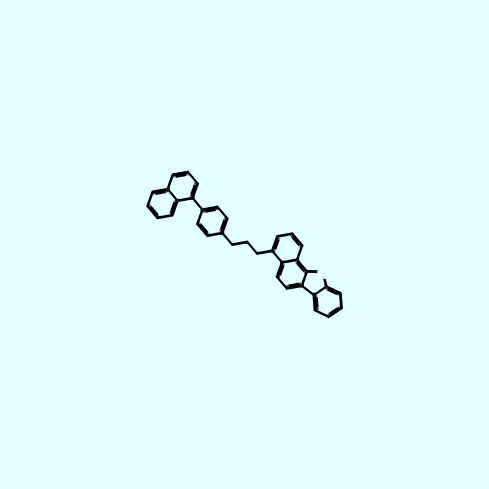 c1ccc2c(-c3ccc(CCCc4cccc5c4ccc4c6ccccc6sc54)cc3)cccc2c1